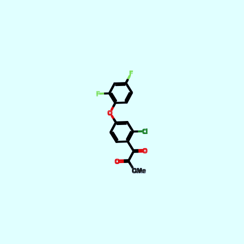 COC(=O)C(=O)c1ccc(Oc2ccc(F)cc2F)cc1Cl